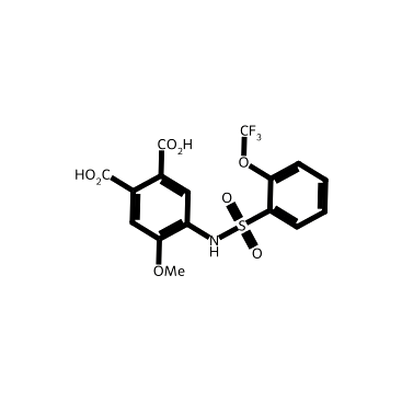 COc1cc(C(=O)O)c(C(=O)O)cc1NS(=O)(=O)c1ccccc1OC(F)(F)F